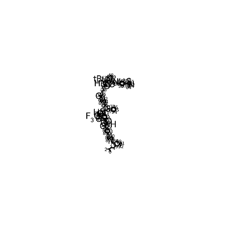 C=C(C)CCC1=C(CN2CCN(c3ccc(C(=O)NS(=O)(=O)c4ccc(N[C@H](CCN5CCN(C(=O)CCCCC(=O)N[C@H](C(=O)N6CCC[C@H]6C(=O)NCc6ccc(-c7scnc7C)cc6)C(C)(C)C)CC5)CSc5ccccc5)c(S(=O)(=O)C(F)(F)F)c4)cc3)CC2)CCC(C)(C)C1